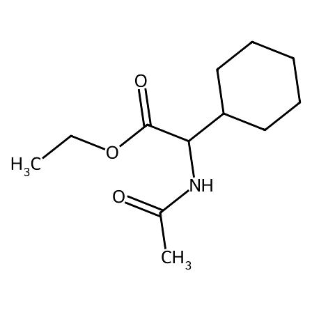 CCOC(=O)C(NC(C)=O)C1CCCCC1